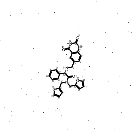 O=C([C@@H](NCc1ccc2[nH]c(=O)[nH]c(=O)c2c1)c1ccccc1)N(Cc1ccco1)Cc1cccs1